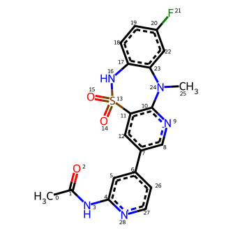 CC(=O)Nc1cc(-c2cnc3c(c2)S(=O)(=O)Nc2ccc(F)cc2N3C)ccn1